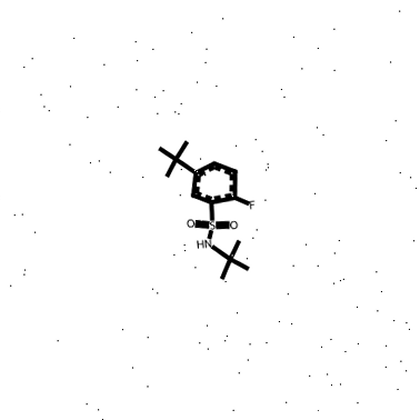 CC(C)(C)NS(=O)(=O)c1cc(C(C)(C)C)ccc1F